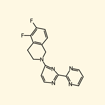 Fc1ccc2c(c1F)CCN(c1ccnc(-c3ncccn3)n1)C2